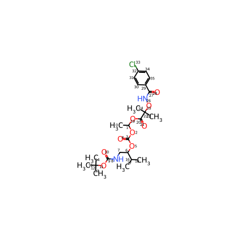 CC(OC(=O)OC(CNC(=O)OC(C)(C)C)C(C)C)OC(=O)C(C)(C)ONC(=O)c1ccc(Cl)cc1